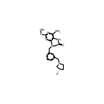 CCCCOc1nc(N)c2c(n1)N(Cc1cccc(CN3CC[C@H](F)C3)c1)CC(=O)N2